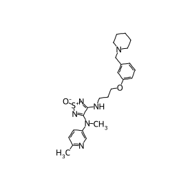 Cc1ccc(N(C)c2n[s+]([O-])nc2NCCCOc2cccc(CN3CCCCC3)c2)cn1